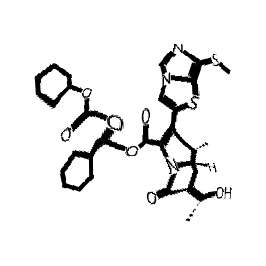 CSc1ncn2cc(C3=C(C(=O)OC(OC(=O)OC4CCCCC4)C4CCCCC4)N4C(=O)[C@H]([C@@H](C)O)[C@H]4[C@H]3C)sc12